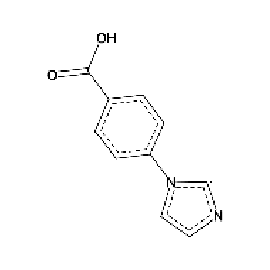 O=C(O)c1ccc(-n2[c]ncc2)cc1